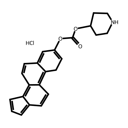 Cl.O=C(OC1=CCc2c(ccc3c4c(ccc23)=CC=C4)=C1)OC1CCNCC1